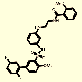 COc1ccccc1C(=O)NCCNc1cccc(NS(=O)(=O)c2cc(-c3cc(F)ccc3F)ccc2OC)c1